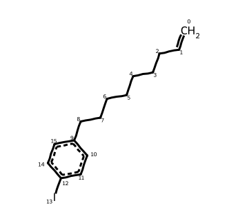 C=CCCCCCCCc1ccc(I)cc1